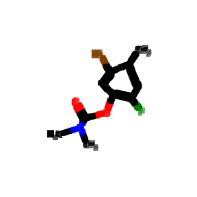 Cc1cc(F)c(OC(=O)N(C)C)cc1S